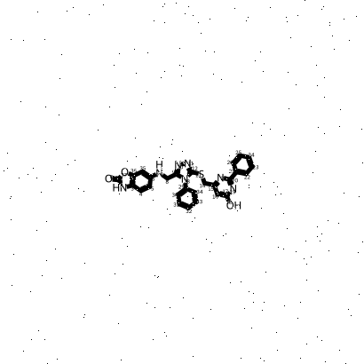 O=c1[nH]c2ccc(NCc3nnc(SCc4cc(O)nc(-c5ccccc5)n4)n3-c3ccccc3)cc2o1